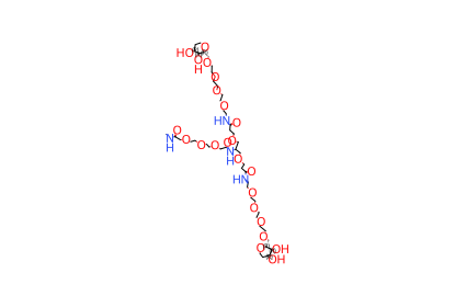 CNC(=O)COCCOCCOCC(=O)NC(COCCC(=O)NCCOCCOCCOCCOC[C@H]1OCC[C@@H](O)[C@H]1O)COCCC(=O)NCCOCCOCCOCCOC[C@H]1OCC[C@@H](O)[C@H]1O